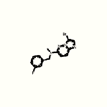 CN(Cc1cccc(F)c1)c1ccc2ncc(Br)n2n1